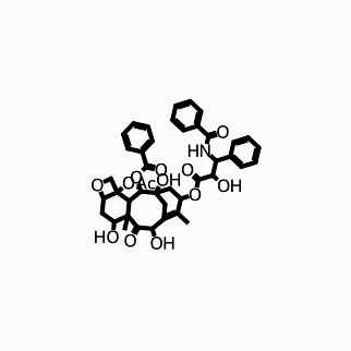 CC(=O)OC12COC1CC(O)C1(C)C(=O)C(O)C3=C(C)C(OC(=O)C(O)C(NC(=O)c4ccccc4)c4ccccc4)CC(O)(C3)C(OC(=O)c3ccccc3)C21